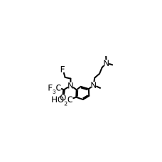 CN(C)CCCN(C)c1ccc(C(=O)O)c(N(CCF)C(=O)C(F)(F)F)c1